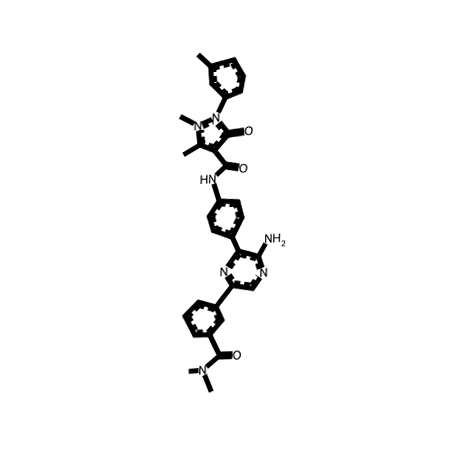 Cc1cccc(-n2c(=O)c(C(=O)Nc3ccc(-c4nc(-c5cccc(C(=O)N(C)C)c5)cnc4N)cc3)c(C)n2C)c1